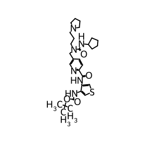 CC(C)(C)OC(=O)Nc1cscc1NC(=O)c1ccc(CN(CCCN2CCCC2)C(=O)NC2CCCC2)cn1